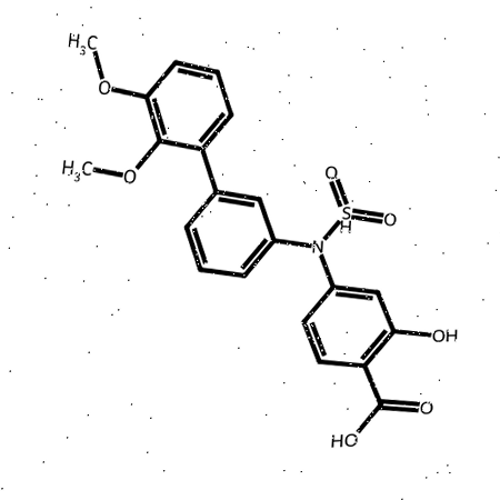 COc1cccc(-c2cccc(N(c3ccc(C(=O)O)c(O)c3)[SH](=O)=O)c2)c1OC